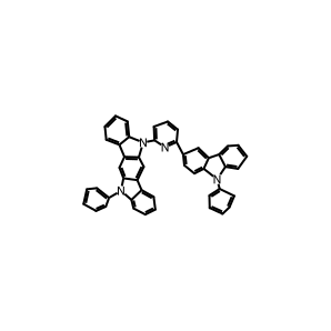 c1ccc(-n2c3ccccc3c3cc(-c4cccc(-n5c6ccccc6c6cc7c(cc65)c5ccccc5n7-c5ccccc5)n4)ccc32)cc1